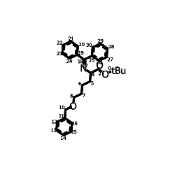 CC(C)(C)OC(=O)C(CCCCOCc1ccccc1)N=C(c1ccccc1)c1ccccc1